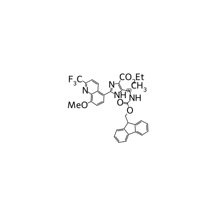 CCOC(=O)c1nc(-c2ccc(OC)c3nc(C(F)(F)F)ccc23)[nH]c1[C@H](C)NC(=O)OCC1c2ccccc2-c2ccccc21